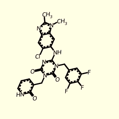 Cc1nc2cc(Cl)c(Nc3nc(=O)n(Cc4ccc[nH]c4=O)c(=O)n3Cc3cc(F)c(F)c(F)c3)cc2n1C